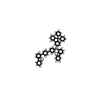 c1ccc(C2(c3ccccc3)c3ccccc3-c3cc(N(c4ccc(-c5ccc(-c6cccc7c6oc6ccccc67)cc5)cc4)c4cccc5c4oc4ccccc45)ccc32)cc1